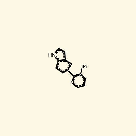 CC(C)c1cccnc1-c1ccc2[nH]ccc2c1